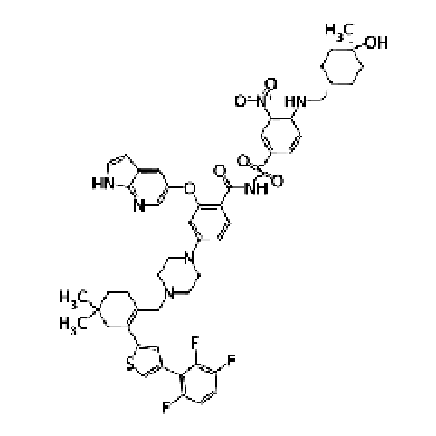 CC1(C)CCC(CN2CCN(c3ccc(C(=O)NS(=O)(=O)c4ccc(NC[C@H]5CC[C@](C)(O)CC5)c([N+](=O)[O-])c4)c(Oc4cnc5[nH]ccc5c4)c3)CC2)=C(c2cc(-c3c(F)ccc(F)c3F)cs2)C1